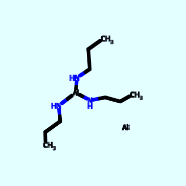 CCC[NH][Al]([NH]CCC)[NH]CCC.[Al]